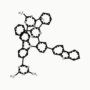 Cc1nc(C)nc(-c2ccc3c4ccc(-c5nc(C)nc(C)n5)cc4n(-c4ccc(-c5ccc6c(c5)oc5ccccc56)cc4-c4nc(-c5ccccc5)nc(-c5ccccc5)n4)c3c2)n1